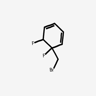 FC1C=CC=CC1(F)CBr